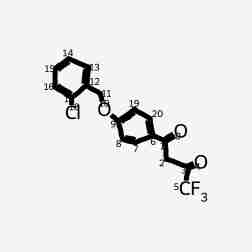 O=C(CC(=O)C(F)(F)F)c1ccc(OCc2ccccc2Cl)cc1